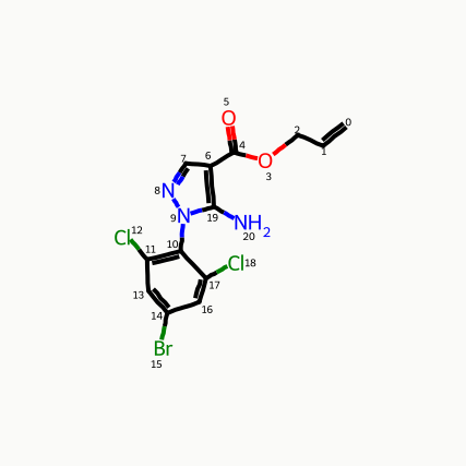 C=CCOC(=O)c1cnn(-c2c(Cl)cc(Br)cc2Cl)c1N